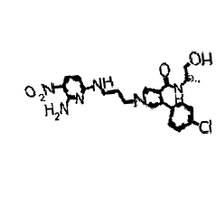 C[C@@H](CO)NC(=O)c1cn(CCCNc2ccc([N+](=O)[O-])c(N)n2)cc1-c1ccc(Cl)cc1